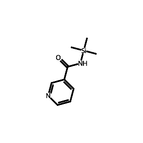 C[Si](C)(C)NC(=O)c1cccnc1